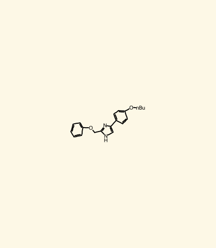 CCCCOc1ccc(-c2c[nH]c(COc3ccccc3)n2)cc1